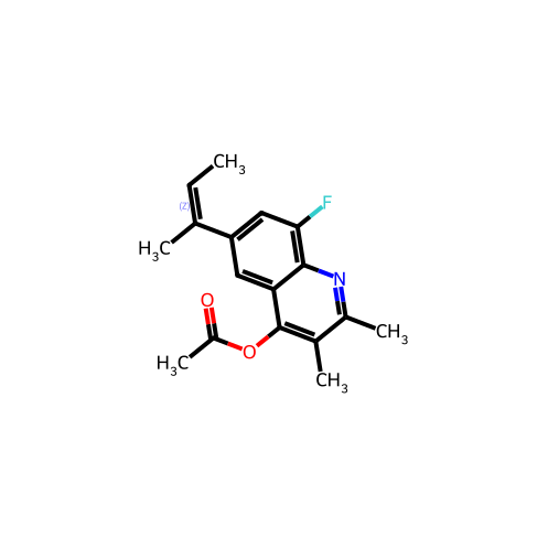 C/C=C(/C)c1cc(F)c2nc(C)c(C)c(OC(C)=O)c2c1